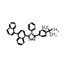 CC(C)(C)c1ccc(-c2nnc(-c3ccc(-c4cccc5ccccc45)c4ccccc34)n2-c2ccccc2)cc1